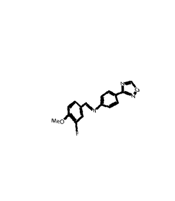 COc1ccc(C=Nc2ccc(-c3ncon3)cc2)cc1F